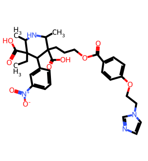 CCC1(C(=O)O)C(C)NC(C)C(CCCOC(=O)c2ccc(OCCn3ccnc3)cc2)(C(=O)O)C1c1cccc([N+](=O)[O-])c1